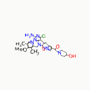 COc1c(C)cnc(CN2C(=O)/C(=C\c3cc(C(=O)CN4CCC(O)CC4)c[nH]3)c3c(Cl)nc(N)nc32)c1C